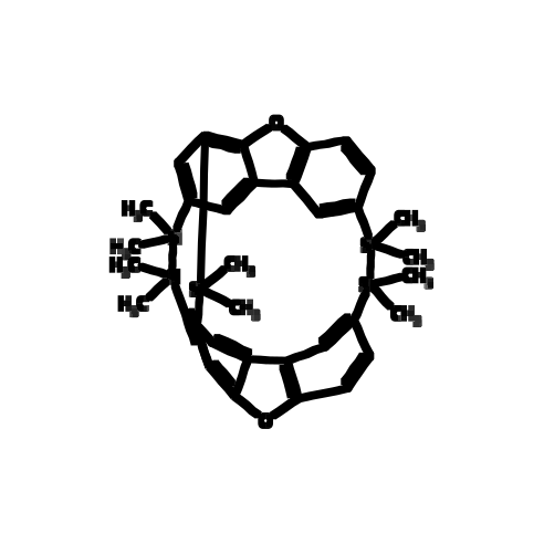 C[Si]1(C)Cc2cc3cc4c2oc2ccc(cc24)[Si](C)(C)[Si](C)(C)c2ccc4oc5c1cc(cc5c4c2)[Si](C)(C)[Si]3(C)C